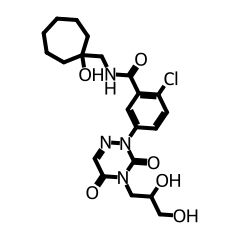 O=C(NCC1(O)CCCCCC1)c1cc(-n2ncc(=O)n(CC(O)CO)c2=O)ccc1Cl